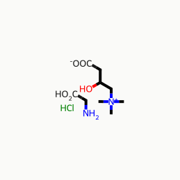 C[N+](C)(C)CC(O)CC(=O)[O-].Cl.NCC(=O)O